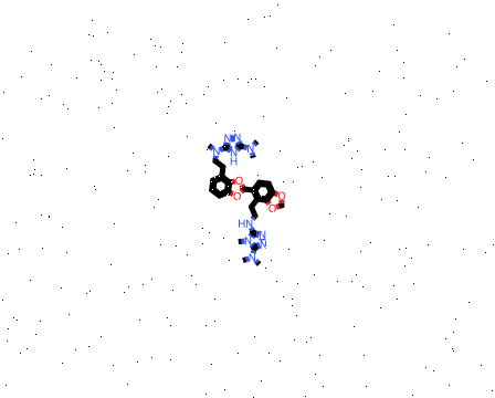 CN(C)c1nnc(N(C)CCc2cccc3c2OC(c2ccc4c(c2CCNc2nnc(N(C)C)n2C)OCO4)O3)[nH]1